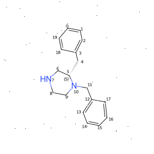 c1ccc(C[C@H]2CNCCN2Cc2ccccc2)cc1